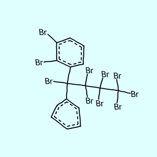 Brc1cccc(C(Br)(c2ccccc2)C(Br)(Br)C(Br)(Br)C(Br)(Br)Br)c1Br